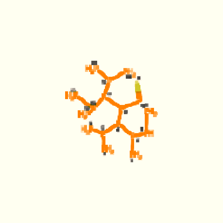 PPP(P)P(P(P)P)P(P=S)P(P(P)P)P(P)P